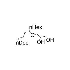 CCCCCCCCCCCCCC(CCCCCC)OCC(O)CO